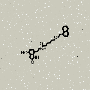 O=C(CCCCCOCCc1cccc2ccccc12)NCCc1ccc(O)c2c1NC(=O)C2